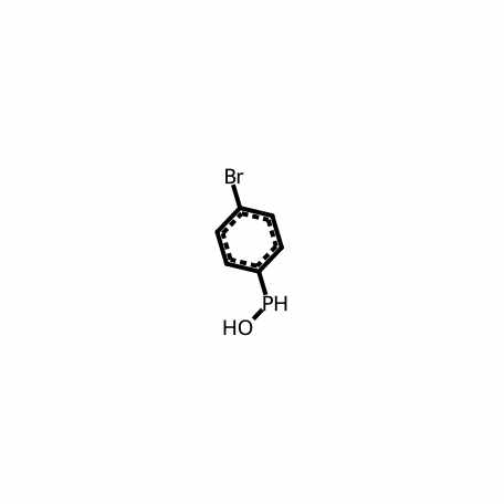 OPc1ccc(Br)cc1